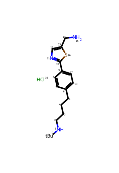 CC(C)(C)NCCCCc1ccc(-c2ncc(CN)s2)cc1.Cl